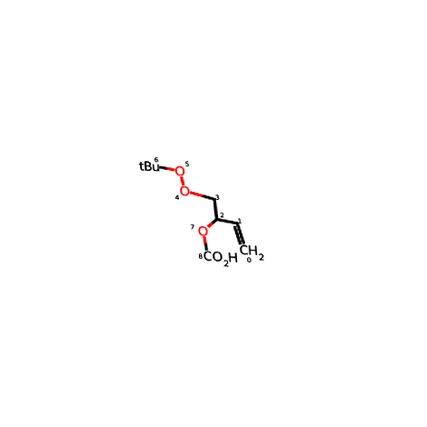 C=CC(COOC(C)(C)C)OC(=O)O